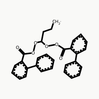 [CH2]CC[C](OOC(=O)c1ccccc1-c1ccccc1)OOC(=O)c1ccccc1-c1ccccc1